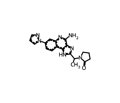 CC(c1nc2c(N)nc3cc(-n4cccn4)ccc3c2[nH]1)N1CCCC1=O